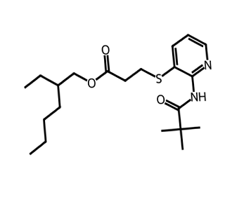 CCCCC(CC)COC(=O)CCSc1cccnc1NC(=O)C(C)(C)C